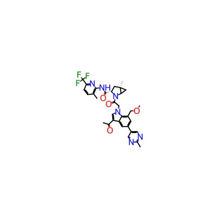 COCc1cc(-c2cnc(C)nc2)cc2c(C(C)=O)cn(CC(=O)N3C4C[C@]4(C)C[C@H]3C(=O)Nc3nc(C(F)(F)F)ccc3C)c12